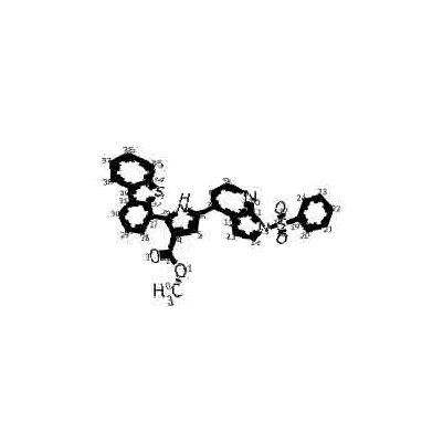 COC(=O)c1cc(-c2ccnc3c2ccn3S(=O)(=O)c2ccccc2)[nH]c1-c1cccc2c1sc1ccccc12